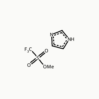 COS(=O)(=O)C(F)(F)F.c1c[nH]cn1